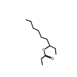 CCCCCCC(CC)OC(=O)CC